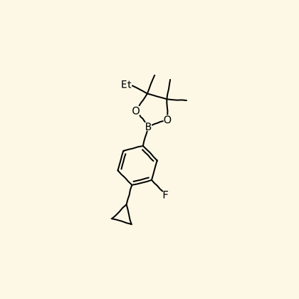 CCC1(C)OB(c2ccc(C3CC3)c(F)c2)OC1(C)C